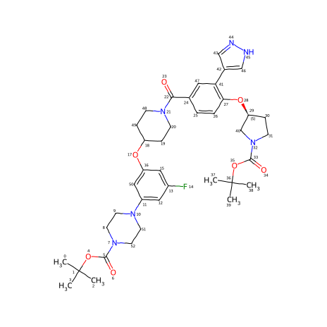 CC(C)(C)OC(=O)N1CCN(c2cc(F)cc(OC3CCN(C(=O)c4ccc(O[C@H]5CCN(C(=O)OC(C)(C)C)C5)c(-c5cn[nH]c5)c4)CC3)c2)CC1